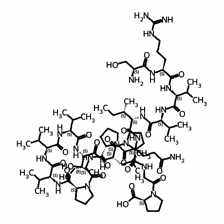 CC[C@H](C)[C@H](NC(=O)[C@@H](NC(=O)[C@@H](NC(=O)[C@H](CCCNC(=N)N)NC(=O)[C@@H](N)CO)C(C)C)C(C)C)C(=O)N[C@@H](CCC(N)=O)C(=O)N1CCC[C@H]1C(=O)N[C@@H](CO)C(=O)N1CCC[C@H]1C(=O)N[C@H](C(=O)N[C@H](C(=O)N[C@H](C(=O)N[C@H](C(=O)N[C@@H](CC(C)C)C(=O)N1CCC[C@H]1C(=O)NCC(=O)N1CCC[C@H]1C(=O)O)[C@@H](C)O)C(C)C)C(C)C)C(C)C